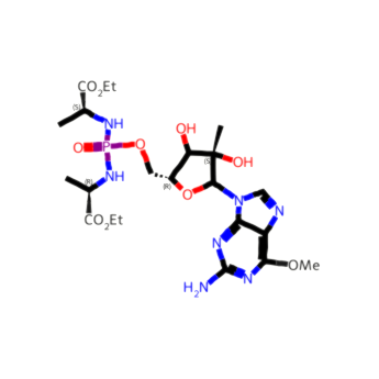 CCOC(=O)[C@H](C)NP(=O)(N[C@H](C)C(=O)OCC)OC[C@H]1OC(n2cnc3c(OC)nc(N)nc32)[C@@](C)(O)C1O